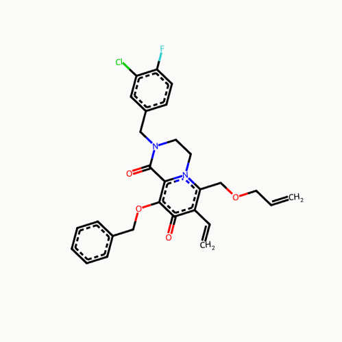 C=CCOCc1c(C=C)c(=O)c(OCc2ccccc2)c2n1CCN(Cc1ccc(F)c(Cl)c1)C2=O